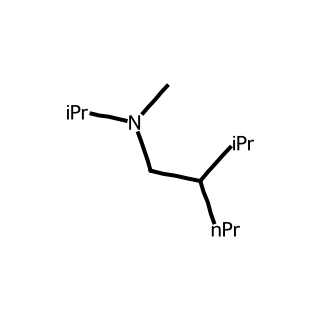 CCCC(CN(C)C(C)C)C(C)C